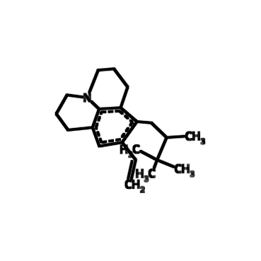 C=Cc1cc2c3c(c1CC(C)C(C)(C)C)CCCN3CCC2